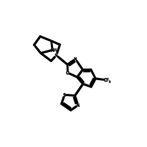 FC(F)(F)c1cc(-c2nccs2)c2oc(N3CC4CCC(C3)N4)nc2c1